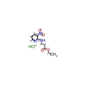 CCOC(=O)CCNc1ncccc1[N+](=O)[O-].Cl